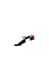 CCCCCc1ccc(-c2cc3ccc(OCC(O)CCC(CO)COC(=O)C(C)(CC(C)(C)C)C(C)(C)C)cc3n2C)cc1